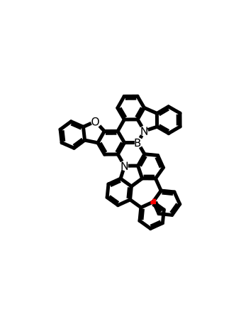 c1ccc(-c2cccc3c2c2c(-c4ccccc4)ccc4c2n3-c2cc3c(oc5ccccc53)c3c2B4n2c4ccccc4c4cccc-3c42)cc1